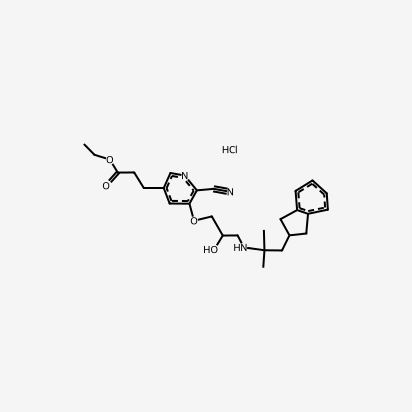 CCOC(=O)CCc1cnc(C#N)c(OCC(O)CNC(C)(C)CC2Cc3ccccc3C2)c1.Cl